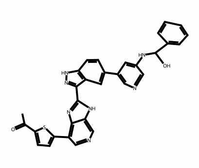 CC(=O)c1ccc(-c2cncc3[nH]c(-c4n[nH]c5ccc(-c6cncc(NC(O)c7ccccc7)c6)cc45)nc23)s1